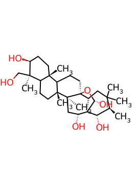 C[C@H]1[C@H](O)[C@@]23C(CC1(C)C)[C@]1(CCC4[C@@]5(C)CC[C@H](O)[C@](C)(CO)C5CC[C@@]4(C)[C@]1(C)C[C@H]2O)O[C@@H]3O